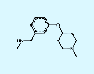 CNCc1cccc(OC2CCN(C)CC2)c1